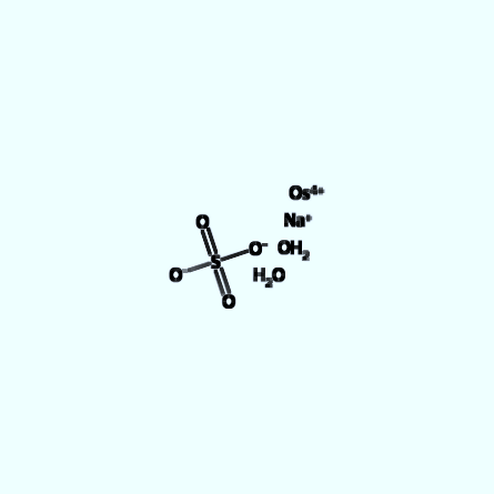 O.O.O=S(=O)([O-])[O-].[Na+].[Os+4]